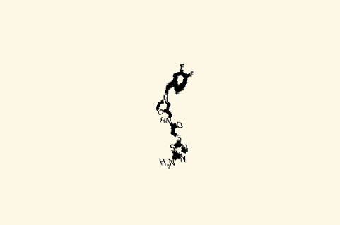 Nc1nnc(SCC(=O)NCC2CN(Cc3ccc(F)c(F)c3)CCO2)s1